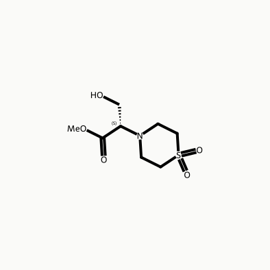 COC(=O)[C@H](CO)N1CCS(=O)(=O)CC1